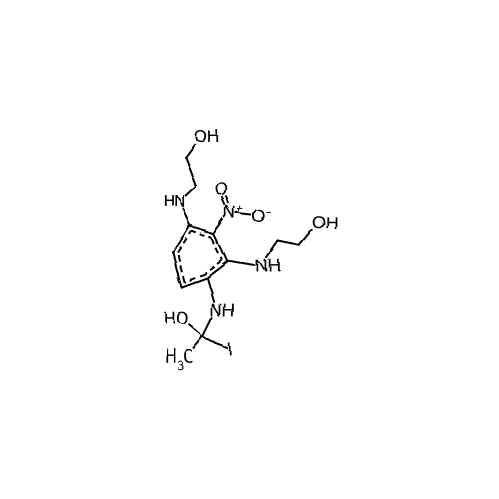 CC(O)(I)Nc1ccc(NCCO)c([N+](=O)[O-])c1NCCO